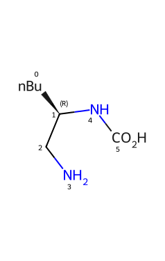 CCCC[C@H](CN)NC(=O)O